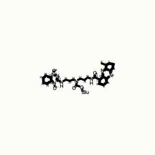 Cc1cccc2nc3cccc(C(=O)NCCCN(CCCNc4n[n+]([O-])c5ccccc5[n+]4[O-])C(=O)OC(C)(C)C)c3nc12